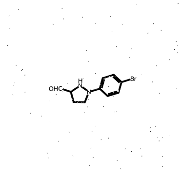 O=CC1CCN(c2ccc(Br)cc2)N1